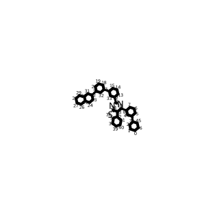 c1ccc(-c2cccc(-c3nc(-c4cccc(-c5cccc(-c6ccc7ccccc7c6)c5)c4)nc4sc5ccccc5c34)c2)cc1